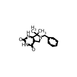 CC1(C)c2[nH]c(=O)[nH]c(=O)c2CN1Cc1ccccc1